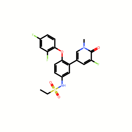 CCS(=O)(=O)Nc1ccc(Oc2ccc(F)cc2F)c(-c2cc(F)c(=O)n(C)c2)c1